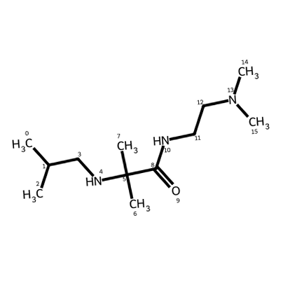 CC(C)CNC(C)(C)C(=O)NCCN(C)C